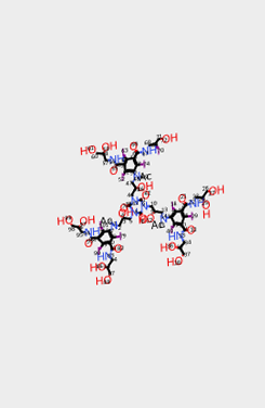 CC(=O)N(CC(O)Cn1c(=O)n(CC(O)CN(C(C)=O)c2c(I)c(C(=O)NCC(O)CO)c(I)c(C(=O)NCC(O)CO)c2I)c(=O)n(CC(O)CN(C(C)=O)c2c(I)c(C(=O)NCC(O)CO)c(I)c(C(=O)NCC(I)CO)c2I)c1=O)c1c(I)c(C(=O)NCC(O)CO)c(I)c(C(=O)NCC(O)CO)c1I